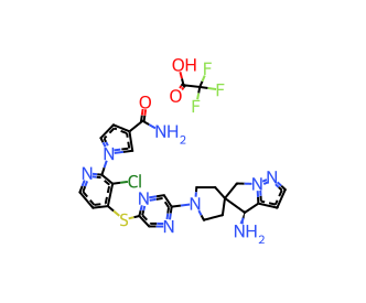 NC(=O)c1ccn(-c2nccc(Sc3cnc(N4CCC5(CC4)Cn4nccc4[C@H]5N)cn3)c2Cl)c1.O=C(O)C(F)(F)F